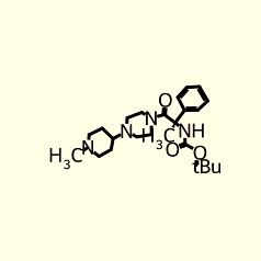 CN1CCC(N2CCN(C(=O)[C@@](C)(NC(=O)OC(C)(C)C)c3ccccc3)CC2)CC1